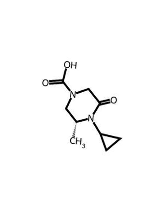 C[C@@H]1CN(C(=O)O)CC(=O)N1C1CC1